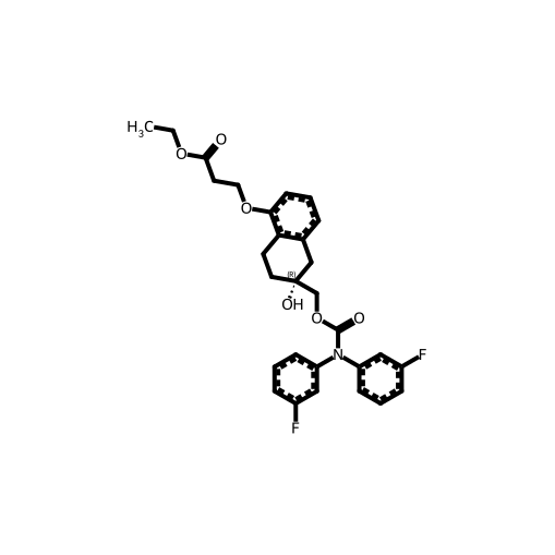 CCOC(=O)CCOc1cccc2c1CC[C@](O)(COC(=O)N(c1cccc(F)c1)c1cccc(F)c1)C2